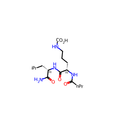 CCCC(=O)N[C@@H](CCCNC(=O)O)C(=O)N[C@@H](CC(C)C)C(N)=O